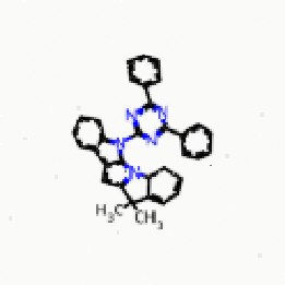 CC1(C)C2=CC=CCC2n2c1cc1c3ccccc3n(-c3nc(-c4ccccc4)nc(-c4ccccc4)n3)c12